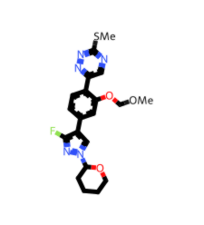 COCOc1cc(-c2cn(C3CCCCO3)nc2F)ccc1-c1cnc(SC)nn1